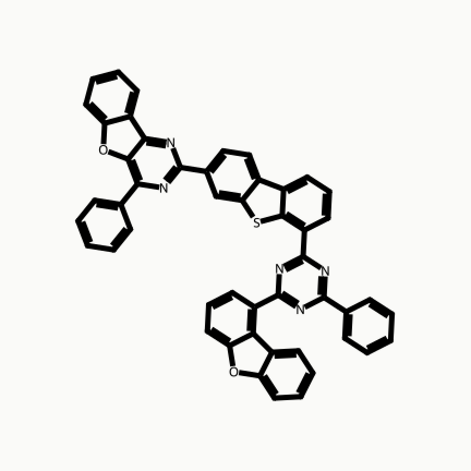 c1ccc(-c2nc(-c3cccc4c3sc3cc(-c5nc(-c6ccccc6)c6oc7ccccc7c6n5)ccc34)nc(-c3cccc4oc5ccccc5c34)n2)cc1